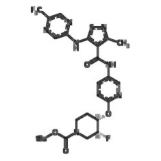 Cc1nsc(Nc2cnc(C(F)(F)F)cn2)c1C(=O)Nc1ccc(O[C@H]2CCN(C(=O)OC(C)(C)C)C[C@H]2F)nc1